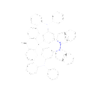 C=C1c2ccccc2C(c2cc(N(c3ccccc3)c3ccccc3)cc(N(c3ccccc3)c3ccccc3)c2)(c2cc(N(c3ccccc3)c3ccccc3)cc(N(c3ccccc3)c3ccccc3)c2)c2ccccc21